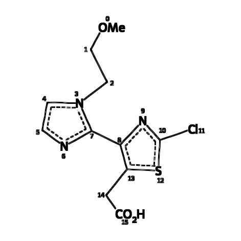 COCCn1ccnc1-c1nc(Cl)sc1CC(=O)O